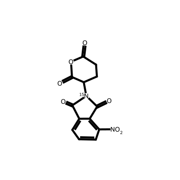 O=C1CCC([15N]2C(=O)c3cccc([N+](=O)[O-])c3C2=O)C(=O)O1